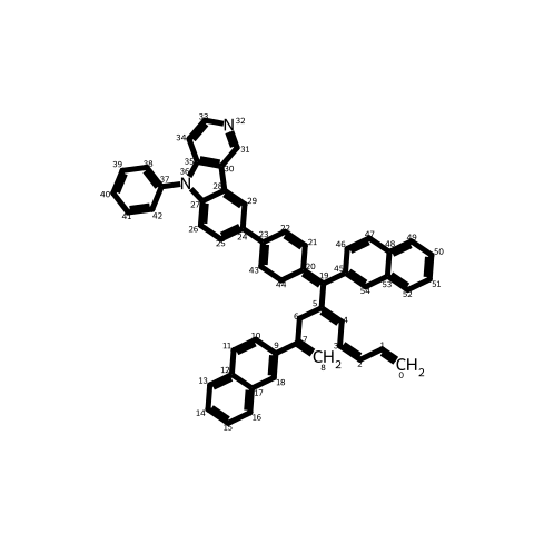 C=C\C=C/C=C(CC(=C)c1ccc2ccccc2c1)/C(=C1/C=CC(c2ccc3c(c2)c2cnccc2n3-c2ccccc2)=CC1)c1ccc2ccccc2c1